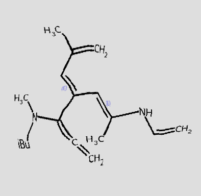 C=C=C(C(/C=C(\C)NC=C)=C/C(=C)C)N(C)C(C)CC